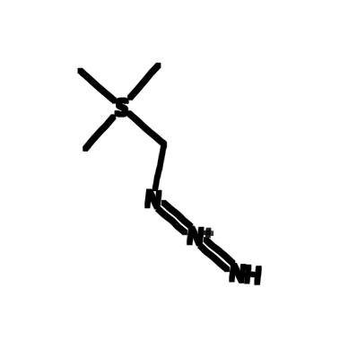 CS(C)(C)CN=[N+]=N